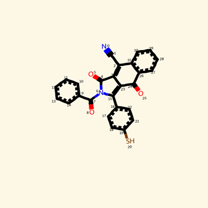 N#CC1=C2C(=O)N(C(=O)c3ccccc3)C(c3ccc(S)cc3)=C2C(=O)c2ccccc21